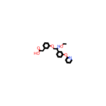 CCON=C(COc1cccc(CC(=O)O)c1)c1cccc(Oc2ccccn2)c1